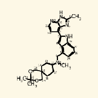 Cc1nc2c(-c3cc4c(CN(C)C5CCC6(CC5)COC(C)(C)OC6)cccc4[nH]3)ccnc2[nH]1